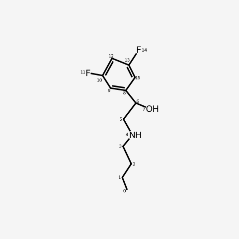 CCCCNCC(O)c1cc(F)cc(F)c1